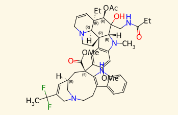 CCC(=O)NCC1(O)[C@H](OC(C)=O)[C@]2(CC)C=CCN3CC[C@@]4(c5cc([C@@]6(C(=O)OC)C[C@@H]7C=C(C(C)(F)F)CN(CCc8c6[nH]c6ccccc86)C7)c(OC)cc5N(C)[C@@H]14)[C@@H]32